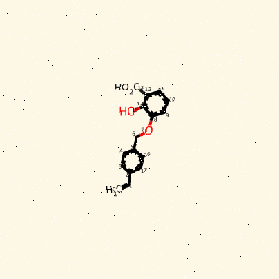 C=Cc1ccc(COc2cccc(C(=O)O)c2O)cc1